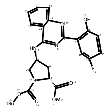 COC(=O)[C@H]1C[C@H](Nc2nc(-c3cc(F)ccc3O)nc3ccccc23)CB1C(=O)OC(C)(C)C